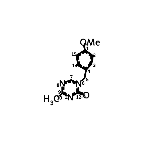 COc1ccc(Cn2cnc(C)nc2=O)cc1